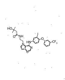 CC(C)(O)CC(=O)NCCn1ccc2ncnc(Nc3ccc(Oc4cccc(C(F)(F)F)c4)c(I)c3)c21